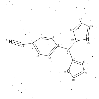 N#Cc1ccc(C(c2ccco2)n2cncn2)cc1